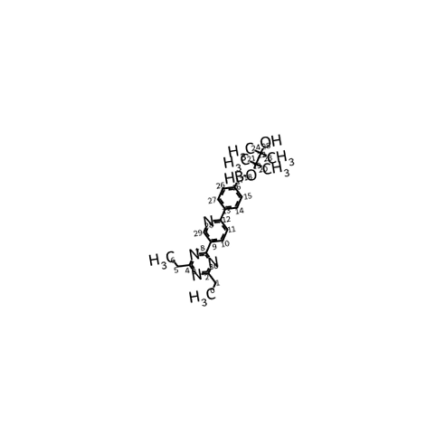 CCc1nc(CC)nc(-c2ccc(-c3ccc(BOC(C)(C)C(C)(C)O)cc3)nc2)n1